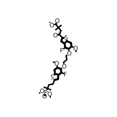 COC(=O)C(C)(C)CC(=O)c1cc2c(F)c(OCCCOc3c(OC)cc4sc(CCC(C)(C)P(=O)(OC)OC)cc4c3F)c(OC)cc2s1